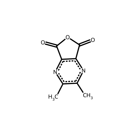 Cc1nc2c(nc1C)C(=O)OC2=O